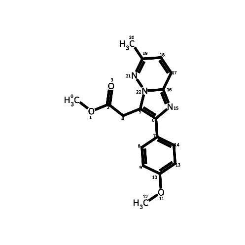 COC(=O)Cc1c(-c2ccc(OC)cc2)nc2ccc(C)nn12